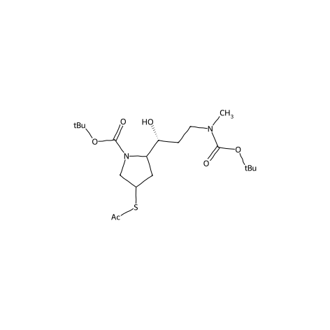 CC(=O)SC1CC([C@H](O)CCN(C)C(=O)OC(C)(C)C)N(C(=O)OC(C)(C)C)C1